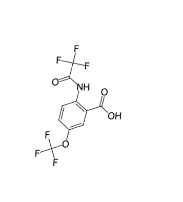 O=C(O)c1cc(OC(F)(F)F)ccc1NC(=O)C(F)(F)F